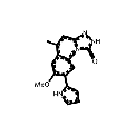 COc1cc2c(C)cc3n[nH]c(=O)n3c2cc1-c1ccc[nH]1